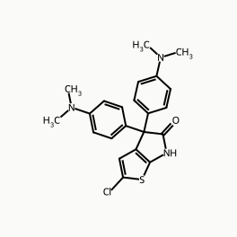 CN(C)c1ccc(C2(c3ccc(N(C)C)cc3)C(=O)Nc3sc(Cl)cc32)cc1